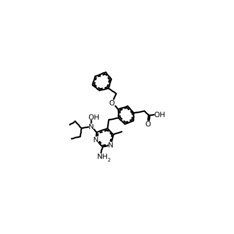 CCC(CC)N(O)c1nc(N)nc(C)c1Cc1ccc(CC(=O)O)cc1OCc1ccccc1